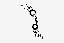 Cc1nc2cc(/C=C/CN3CCc4nc(N)sc4CC3)ccc2s1